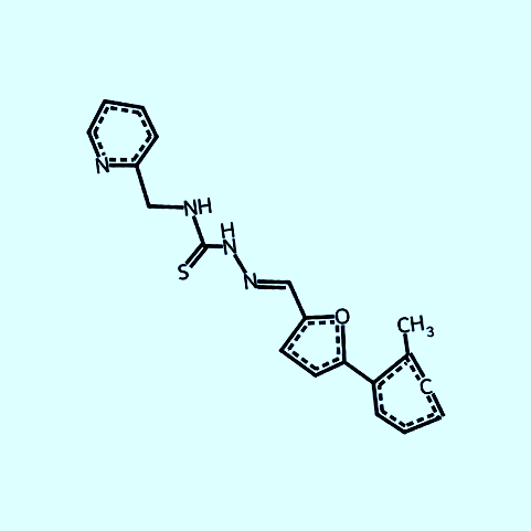 Cc1ccccc1-c1ccc(/C=N/NC(=S)NCc2ccccn2)o1